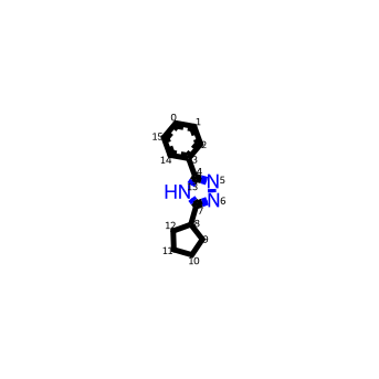 c1ccc(-c2nnc(C3CCCC3)[nH]2)cc1